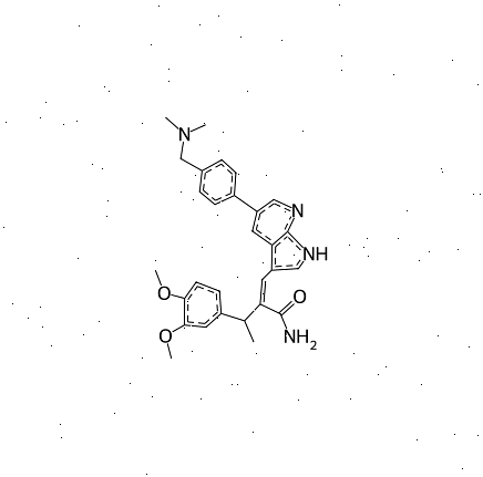 COc1ccc(C(C)C(=Cc2c[nH]c3ncc(-c4ccc(CN(C)C)cc4)cc23)C(N)=O)cc1OC